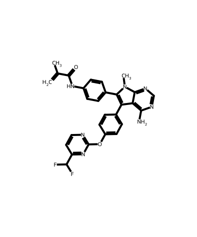 C=C(C)C(=O)Nc1ccc(-c2c(-c3ccc(Oc4nccc(C(F)F)n4)cc3)c3c(N)ncnc3n2C)cc1